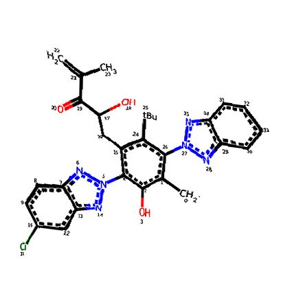 [CH2]c1c(O)c(-n2nc3ccc(Cl)cc3n2)c(CC(O)C(=O)C(=C)C)c(C(C)(C)C)c1-n1nc2ccccc2n1